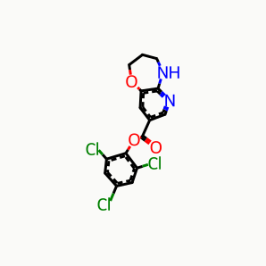 O=C(Oc1c(Cl)cc(Cl)cc1Cl)c1cnc2c(c1)OCCCN2